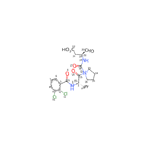 CC(C)[C@H](NC(=O)c1cccc(Cl)c1Cl)C(=O)[N+]1(C(=O)N[C@H](C=O)CC(=O)O)CCCC1